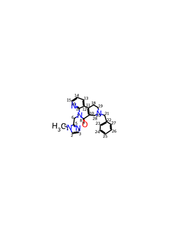 Cn1ccnc1Cn1c(=O)c2c(c3cccnc31)CCN(Cc1ccccc1)C2